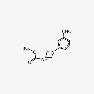 CC(C)(C)OC(=O)NC1CN(c2cccc(C=O)c2)C1